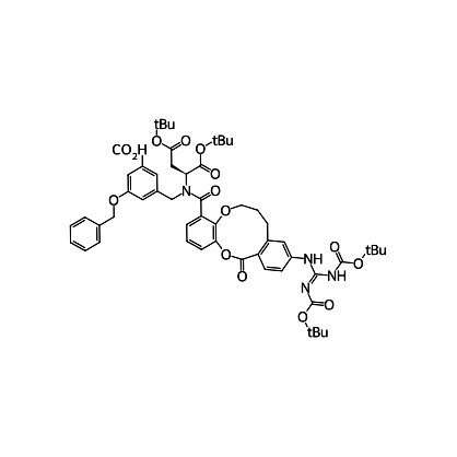 CC(C)(C)OC(=O)C[C@@H](C(=O)OC(C)(C)C)N(Cc1cc(OCc2ccccc2)cc(C(=O)O)c1)C(=O)c1cccc2c1OCCCc1cc(NC(=NC(=O)OC(C)(C)C)NC(=O)OC(C)(C)C)ccc1C(=O)O2